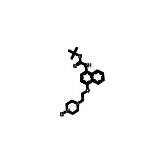 CC(C)(C)OC(=O)Nc1ccc(OCCN2CC[S+]([O-])CC2)c2ccccc12